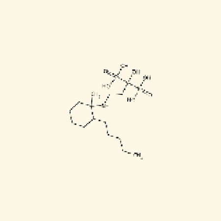 CCCCCC1CCCCC1(C)NCCC(O)(P(=O)(O)O)P(=O)(O)O